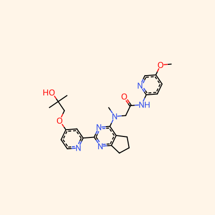 COc1ccc(NC(=O)CN(C)c2nc(-c3cc(OCC(C)(C)O)ccn3)nc3c2CCC3)nc1